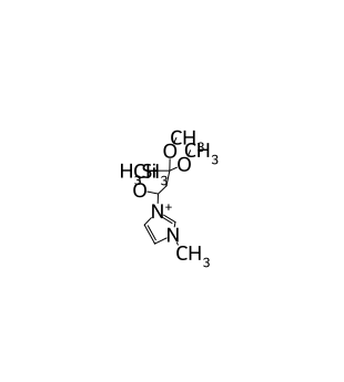 COC(CC([SiH3])(OC)OC)[n+]1ccn(C)c1